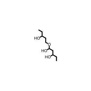 CCC(O)CCOC(O)CC(O)CC